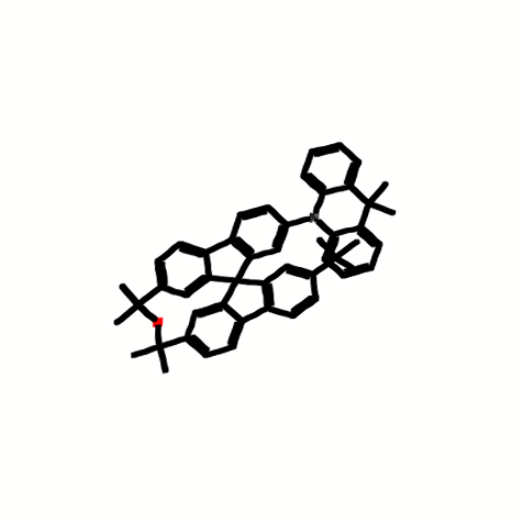 CC(C)(C)c1ccc2c(c1)C1(c3cc(N4c5ccccc5C(C)(C)c5ccccc54)ccc3-2)c2cc(C(C)(C)C)ccc2-c2ccc(C(C)(C)C)cc21